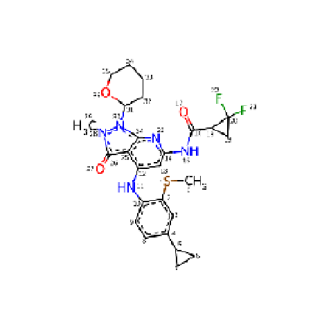 CSc1cc(C2CC2)ccc1Nc1cc(NC(=O)C2CC2(F)F)nc2c1c(=O)n(C)n2C1CCCCO1